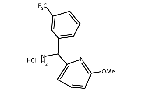 COc1cccc(C(N)c2cccc(C(F)(F)F)c2)n1.Cl